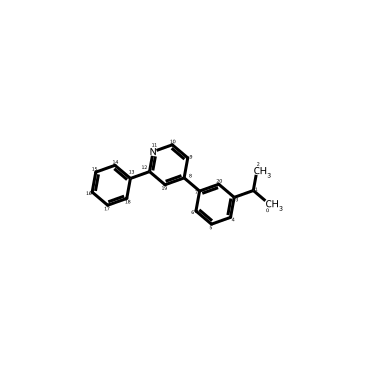 CC(C)c1cccc(-c2ccnc(-c3ccccc3)c2)c1